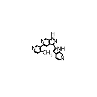 Cc1ccncc1-c1cc2c(-c3cc4ccncc4[nH]3)n[nH]c2cn1